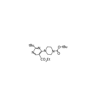 CCOC(=O)c1cnc(C(C)(C)C)nc1N1CCN(C(=O)OC(C)(C)C)CC1